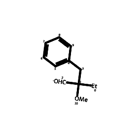 CCC([C]=O)(Cc1ccccc1)OC